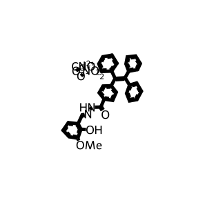 COc1cccc(C=NNC(=O)c2ccc(C(=C(c3ccccc3)c3ccccc3)c3ccccc3)cc2)c1O.O=[N+]([O-])[O-].O=[N+]([O-])[O-].[Cd+2]